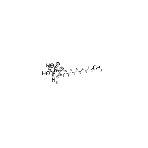 CCCCCCCCCCCCC(CC)C(=O)N(CC(=O)O)C(=O)O